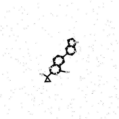 NC1(c2nc(O)c3cc(-c4cnc5[nH]ccc5c4)ccc3n2)CC1